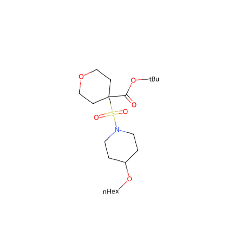 CCCCCCOC1CCN(S(=O)(=O)C2(C(=O)OC(C)(C)C)CCOCC2)CC1